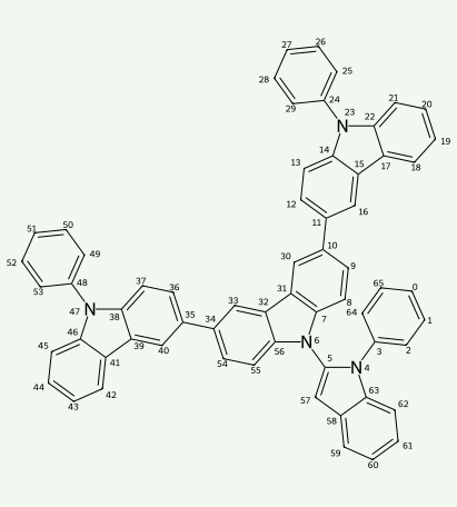 c1ccc(-n2c(-n3c4ccc(-c5ccc6c(c5)c5ccccc5n6-c5ccccc5)cc4c4cc(-c5ccc6c(c5)c5ccccc5n6-c5ccccc5)ccc43)cc3ccccc32)cc1